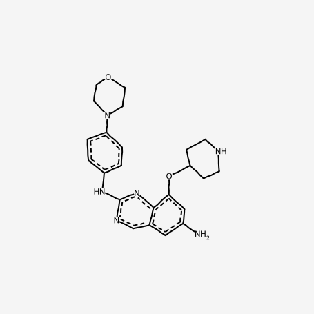 Nc1cc(OC2CCNCC2)c2nc(Nc3ccc(N4CCOCC4)cc3)ncc2c1